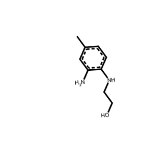 Cc1ccc(NCCO)c(N)c1